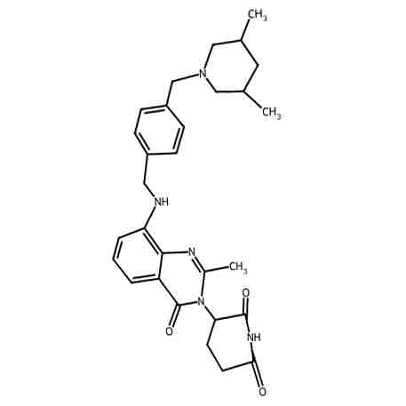 Cc1nc2c(NCc3ccc(CN4CC(C)CC(C)C4)cc3)cccc2c(=O)n1C1CCC(=O)NC1=O